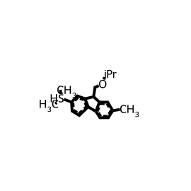 Cc1ccc2c(c1)C(COC(C)C)c1cc([SH](C)C)ccc1-2